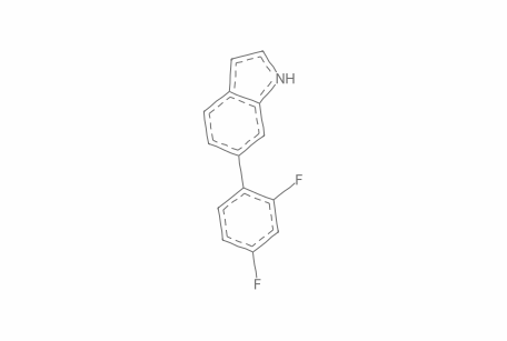 Fc1ccc(-c2ccc3cc[nH]c3c2)c(F)c1